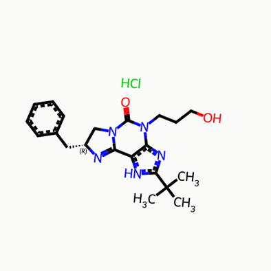 CC(C)(C)c1nc2c([nH]1)C1=N[C@H](Cc3ccccc3)CN1C(=O)N2CCCO.Cl